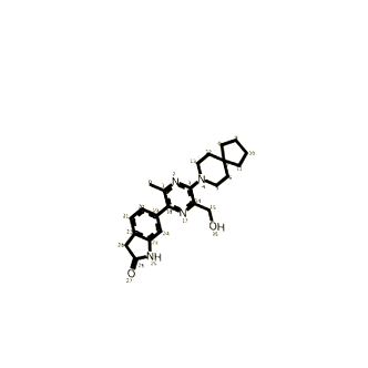 Cc1nc(N2CCC3(CCCC3)CC2)c(CO)nc1-c1ccc2c(c1)NC(=O)C2